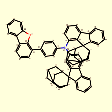 c1ccc2c(c1)-c1ccc(N(c3ccc(-c4cccc5c4oc4ccccc45)cc3)c3cccc4c3C3(c5ccccc5-4)C4CCC5CC(C4)CC3C5)cc1C21C2CCC3CC(C2)CC1C3